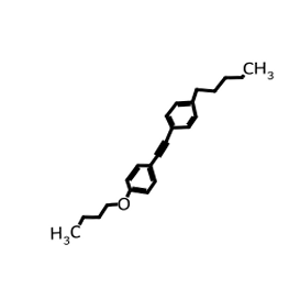 CCCCCc1ccc(C#Cc2ccc(OCCCC)cc2)cc1